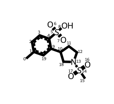 Cc1ccc(S(=O)(=O)O)c(C2CCN(S(C)(=O)=O)C2)c1